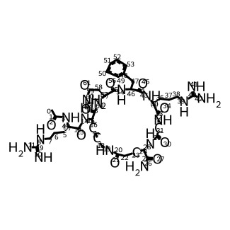 CC(=O)N[C@@H](CCCNC(=N)N)C(=O)NC1CCCNC(=O)CCC(C(N)=O)NC(=O)CNC(=O)[C@H](CCCNC(=N)N)NC(=O)C(Cc2ccccc2)NC(=O)[C@H](CC(N)=O)NC1=O